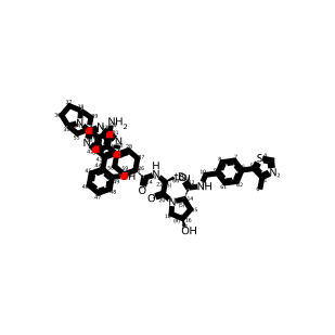 Cc1ncsc1-c1ccc(CNC(=O)[C@@H]2C[C@@H](O)CN2C(=O)[C@@H](NC(=O)[C@H]2CC=C(c3cnc(N4C5CCC4CN(c4cc(-c6ccccc6O)nnc4N)C5)nc3)CC2)C(C)(C)C)cc1